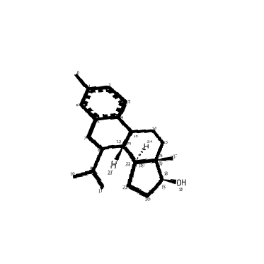 Cc1ccc2c(c1)CC(C(C)C)[C@@H]1C2CC[C@]2(C)[C@@H](O)CC[C@@H]12